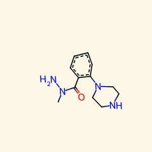 CN(N)C(=O)c1ccccc1N1CCNCC1